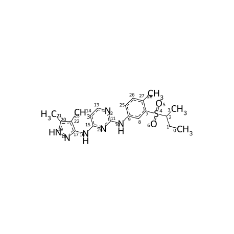 CCC(C)S(=O)(=O)c1cc(Nc2nccc(Nc3n[nH]c(C)c3C)n2)ccc1C